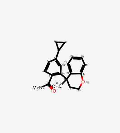 CNC(=O)c1ccc(C2CC2)cc1C1(C=O)CCOc2ccccc21